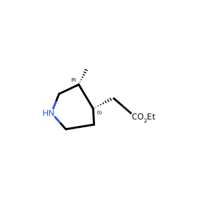 CCOC(=O)C[C@@H]1CCNC[C@@H]1C